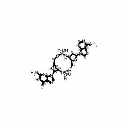 Nc1nc2c(ncn2C2OC3COP(=O)(O)NC4CC(n5cnc6c(N)ncnc65)OC4COP(=O)(O)OC2C3O)c(=O)[nH]1